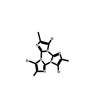 Cc1nc2n(c1Br)c1nc(C)c(Br)n1c1nc(C)c(Br)n21